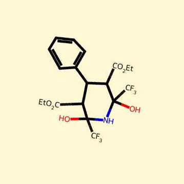 CCOC(=O)C1C(c2ccccc2)C(C(=O)OCC)C(O)(C(F)(F)F)NC1(O)C(F)(F)F